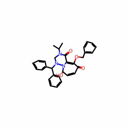 CC(C)N1CN(C(c2ccccc2)c2ccccc2)N2C(=C(OCc3ccccc3)C(=O)C=CC2O)C1=O